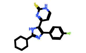 Fc1ccc(-c2nc(C3CCCCC3)[nH]c2-c2cc[nH]c(=S)n2)cc1